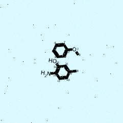 COc1ccccc1.Cc1ccc(N)c(O)c1